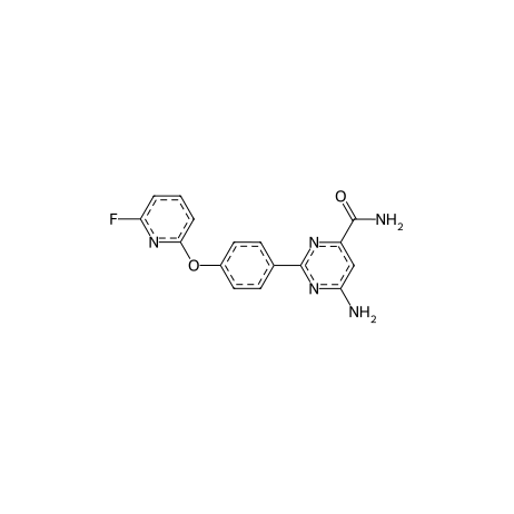 NC(=O)c1cc(N)nc(-c2ccc(Oc3cccc(F)n3)cc2)n1